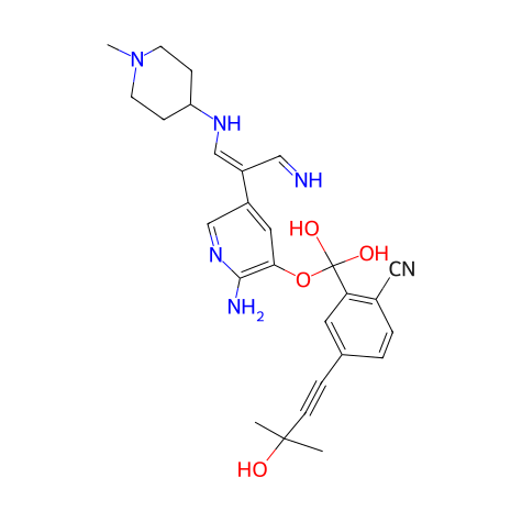 CN1CCC(N/C=C(\C=N)c2cnc(N)c(OC(O)(O)c3cc(C#CC(C)(C)O)ccc3C#N)c2)CC1